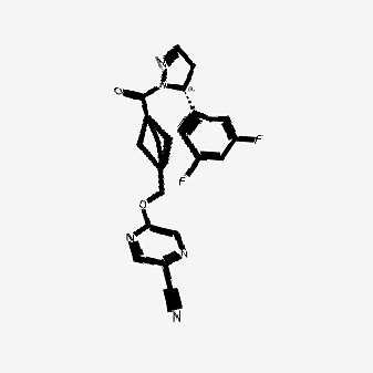 N#Cc1cnc(OCC23CC(C(=O)N4N=CC[C@@H]4c4cc(F)cc(F)c4)(C2)C3)cn1